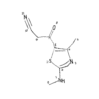 CNc1nc(C)c(C(=O)CC#N)s1